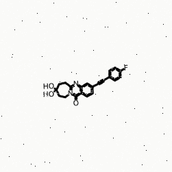 O=c1c2ccc(C#Cc3ccc(F)cc3)cc2nc2n1CCC(O)(O)CC2